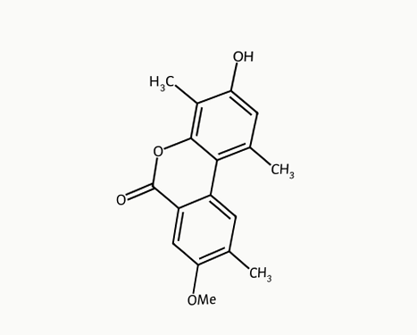 COc1cc2c(=O)oc3c(C)c(O)cc(C)c3c2cc1C